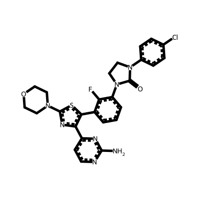 Nc1nccc(-c2nc(N3CCOCC3)sc2-c2cccc(N3CCN(c4ccc(Cl)cc4)C3=O)c2F)n1